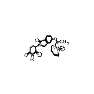 CCN1CCCC[C@H]1[C@@H](C)Oc1ccc2c(c1)CN(C1CCC(=O)NC1=O)C2=O